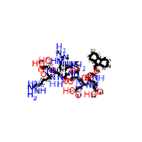 CSCC[C@H](NC(=O)[C@H](CCC(=O)O)NC(=O)[C@H](CCC(=O)O)NC(=O)OCC1c2ccccc2-c2ccccc21)C(=O)N[C@@H](CCC(N)=O)C(=O)N[C@@H](CCCNC(=N)N)C(=O)N[C@@H](CCCNC(=N)N)C(=O)N[C@@H](CO)C(=O)O